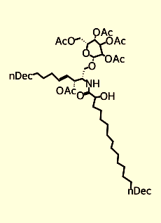 CCCCCCCCCCCCC/C=C/[C@@H](OC(C)=O)[C@H](CO[C@@H]1O[C@H](COC(C)=O)[C@H](OC(C)=O)C(OC(C)=O)C1OC(C)=O)NC(=O)C(O)CCCCCCCCCCCCCCCCCCCCCC